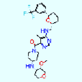 CO[C@@H]1COCC[C@@H]1NC1CCN(C(=O)c2ncnc(NC[C@H]3CCC[C@@H](c4cccc(C(F)(F)F)c4)O3)c2C)CC1